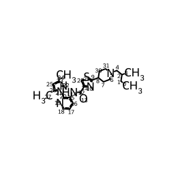 CCC(C)CN1CCC(c2nc(C(=O)Nc3cccnc3-n3nc(C)cc3C)cs2)CC1